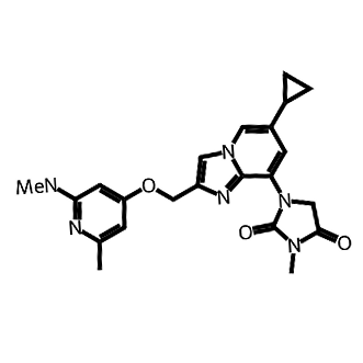 CNc1cc(OCc2cn3cc(C4CC4)cc(N4CC(=O)N(C)C4=O)c3n2)cc(C)n1